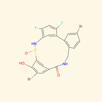 O=C1NCc2ccc(Br)cc2-c2cc(c(F)cc2F)N[S+]([O-])c2cc1cc(Br)c2O